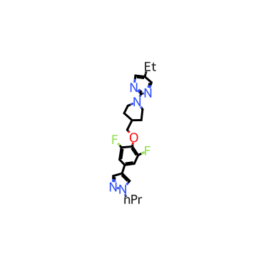 CCCn1cc(-c2cc(F)c(OCC3CCN(c4ncc(CC)cn4)CC3)c(F)c2)cn1